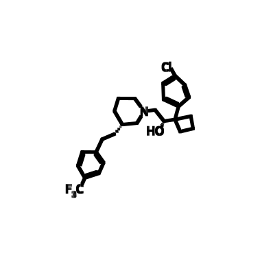 O[C@H](CN1CCC[C@@H](CCc2ccc(C(F)(F)F)cc2)C1)C1(c2ccc(Cl)cc2)CCC1